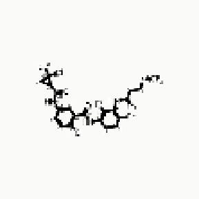 O=C(CCSC(F)(F)F)Nc1c(F)ccc(NC(=O)c2cc(NC(=O)C3CC3(Cl)Cl)ccc2Cl)c1F